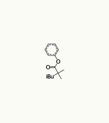 CCC(C)C(C)(C)C(=O)Oc1ccccc1